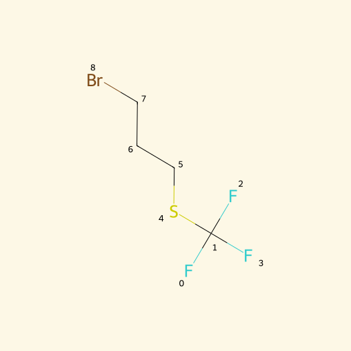 FC(F)(F)SCCCBr